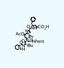 CCCCCOCN(C(=O)[C@@H](NC(=O)[C@H]1CCCCN1C)C(C)CC)[C@H](C[C@@H](OC(C)=O)c1nc(C(=O)N[C@@H](Cc2ccccc2)C[C@H](C)C(=O)O)cs1)C(C)C